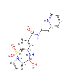 O=C(NCCc1ccccn1)c1ccc2c(c1)NC(O)c1cccn1S2(=O)=O